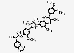 COc1ccc(C(O)C(C)Oc2ccc([C@H]3OC(c4ccc(OC(C)C(O)c5ccc6c(c5)OCO6)c(OC)c4)[C@H](C)[C@H]3C)cc2C)cc1OC